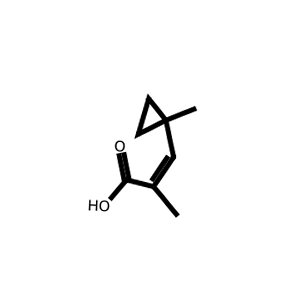 CC(=CC1(C)CC1)C(=O)O